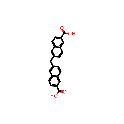 O=C(O)c1ccc2cc(Cc3ccc4cc(C(=O)O)ccc4c3)ccc2c1